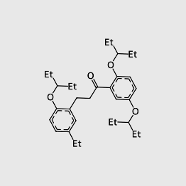 CCc1ccc(OC(CC)CC)c(CCC(=O)c2cc(OC(CC)CC)ccc2OC(CC)CC)c1